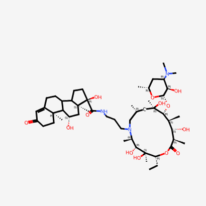 CC[C@H]1OC(=O)[C@H](C)[C@@H](O)[C@H](C)[C@@H](O[C@@H]2O[C@H](C)C[C@@H](N(C)C)[C@H]2O)[C@](C)(O)C[C@@H](C)CN(CCCNC(=O)[C@@]2(O)CCC3C4CCC5=CC(=O)CC[C@]5(C)C4[C@@H](O)C[C@@]32C)[C@H](C)[C@@H](O)[C@]1(C)O